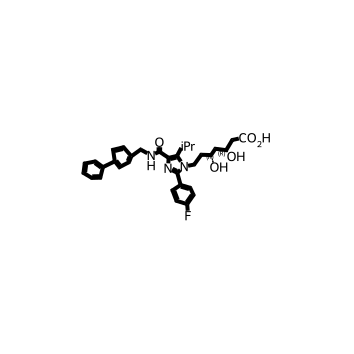 CC(C)c1c(C(=O)NCc2ccc(-c3ccccc3)cc2)nc(-c2ccc(F)cc2)n1CC[C@@H](O)C[C@@H](O)CC(=O)O